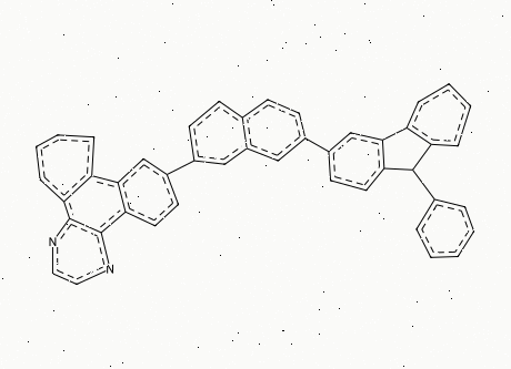 c1ccc(C2c3ccccc3-c3cc(-c4ccc5ccc(-c6ccc7c(c6)c6ccccc6c6nccnc76)cc5c4)ccc32)cc1